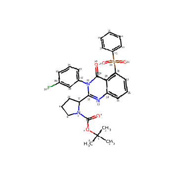 CC(C)(C)OC(=O)N1CCCC1c1nc2cccc(S(=O)(=O)c3ccccc3)c2c(=O)n1-c1cccc(F)c1